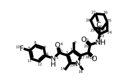 Cc1c(C(=O)Nc2ccc(F)cc2)c(C)n(C)c1C(=O)C(=O)NC12CC3CC(CC1C3)C2